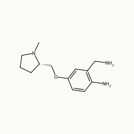 CN1CCC[C@H]1COc1ccc(N)c(CN)c1